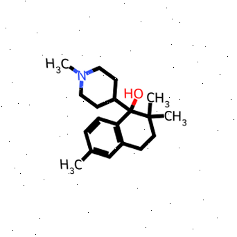 Cc1ccc2c(c1)CCC(C)(C)C2(O)C1CCN(C)CC1